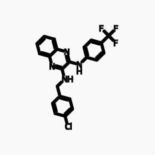 FC(F)(F)c1ccc(Nc2nc3ccccc3nc2NCc2ccc(Cl)cc2)cc1